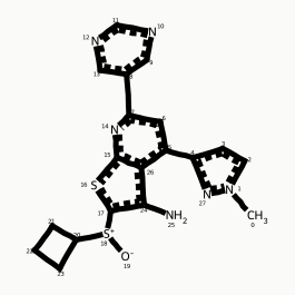 Cn1ccc(-c2cc(-c3cncnc3)nc3sc([S+]([O-])C4CCC4)c(N)c23)n1